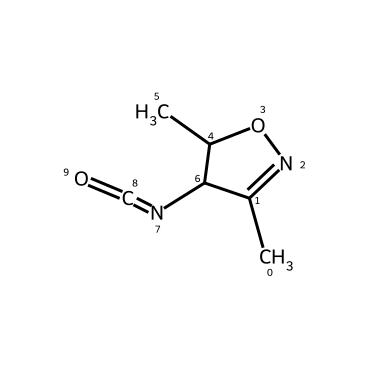 CC1=NOC(C)C1N=C=O